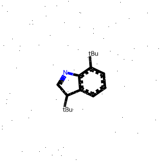 CC(C)(C)c1cccc2c1N=CC2C(C)(C)C